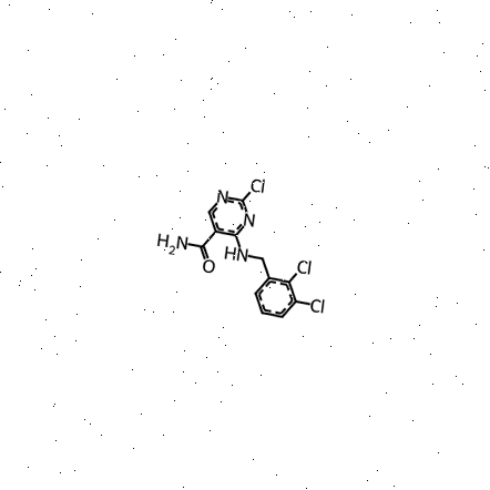 NC(=O)c1cnc(Cl)nc1NCc1cccc(Cl)c1Cl